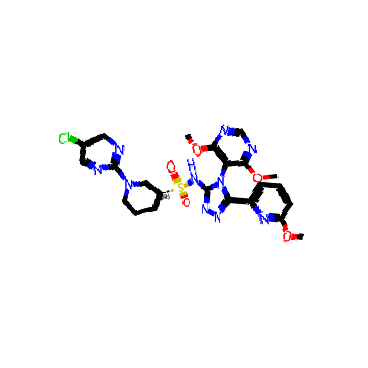 COc1cccc(-c2nnc(NS(=O)(=O)[C@@H]3CCCN(c4ncc(Cl)cn4)C3)n2-c2c(OC)ncnc2OC)n1